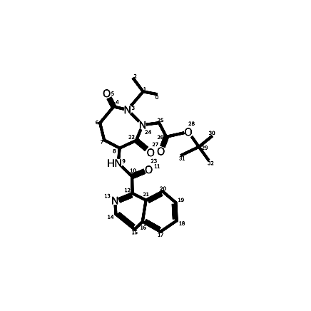 CC(C)N1C(=O)CCC(NC(=O)c2nccc3ccccc23)C(=O)N1CC(=O)OC(C)(C)C